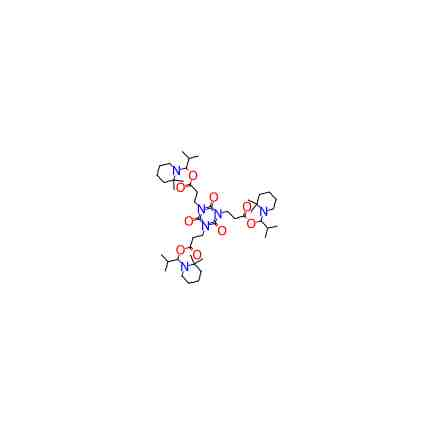 CC(C)C(OC(=O)CCn1c(=O)n(CCC(=O)OC(C(C)C)N2CCCCC2(C)C)c(=O)n(CCC(=O)OC(C(C)C)N2CCCCC2(C)C)c1=O)N1CCCCC1(C)C